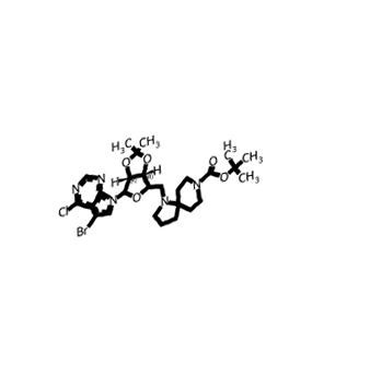 CC(C)(C)OC(=O)N1CCC2(CCCN2CC2OC(n3cc(Br)c4c(Cl)ncnc43)[C@@H]3OC(C)(C)O[C@H]23)CC1